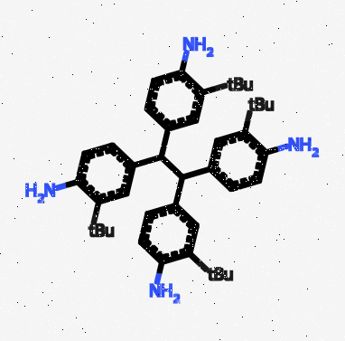 CC(C)(C)c1cc(C(c2ccc(N)c(C(C)(C)C)c2)C(c2ccc(N)c(C(C)(C)C)c2)c2ccc(N)c(C(C)(C)C)c2)ccc1N